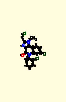 Cn1c(CCl)nc2c(=O)n(-c3ccccc3Cl)c3cc(Cl)ccc3c21